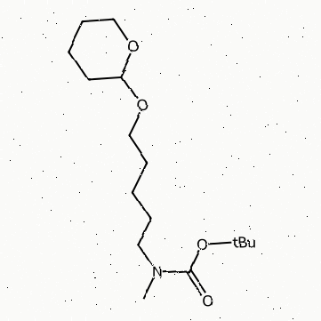 CN(CCCCCOC1CCCCO1)C(=O)OC(C)(C)C